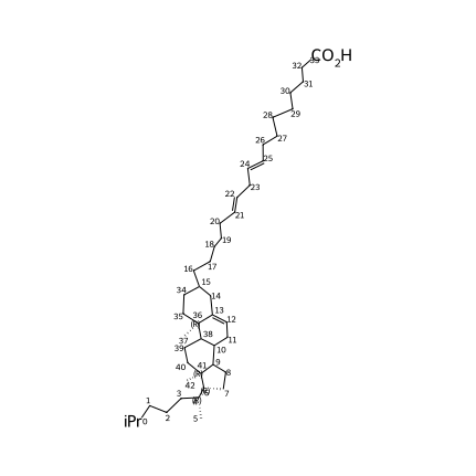 CC(C)CCC[C@@H](C)[C@H]1CCC2C3CC=C4CC(CCCCCC=CCC=CCCCCCCCC(=O)O)CC[C@]4(C)C3CC[C@@]21C